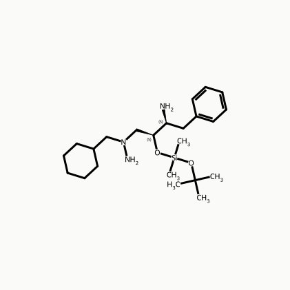 CC(C)(C)O[Si](C)(C)O[C@@H](CN(N)CC1CCCCC1)[C@@H](N)Cc1ccccc1